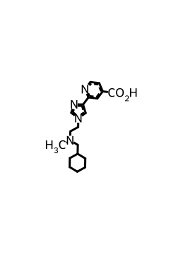 CN(CCn1cnc(-c2cc(C(=O)O)ccn2)c1)CC1CCCCC1